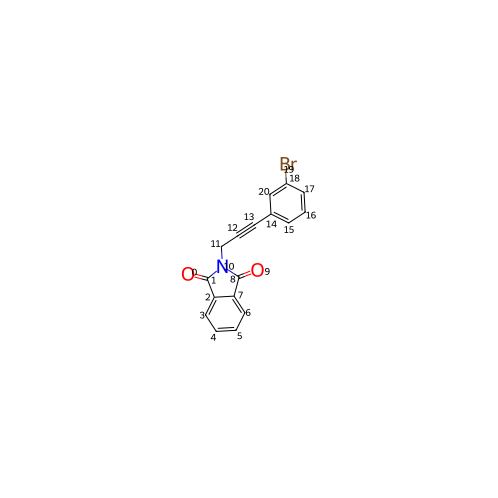 O=C1c2ccccc2C(=O)N1CC#Cc1cccc(Br)c1